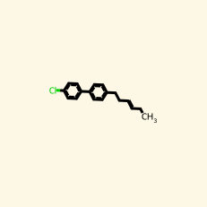 CC/C=C/CCc1ccc(-c2ccc(Cl)cc2)cc1